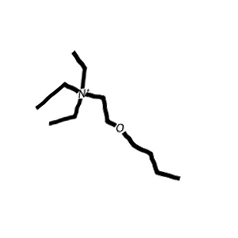 CCCCOCC[N+](CC)(CC)CC